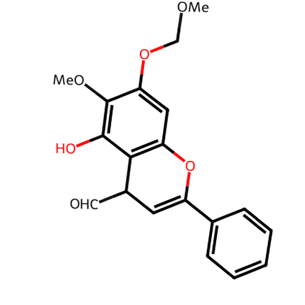 COCOc1cc2c(c(O)c1OC)C(C=O)C=C(c1ccccc1)O2